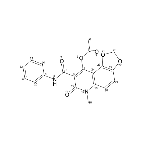 CC(=O)Oc1c(C(=O)Nc2ccccc2)c(=O)n(C)c2ccc3c(c12)OCO3